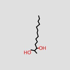 CCCCCCCCCCCC(O)C(C)CO